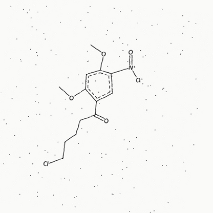 COc1cc(OC)c([N+](=O)[O-])cc1C(=O)CCCCCl